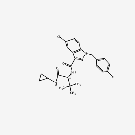 CC(C)(C)[C@H](NC(=O)c1nn(Cc2ccc(F)cc2)c2ccc(Cl)cc12)C(=O)NC1CC1